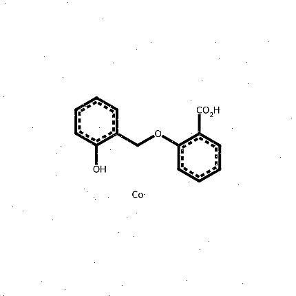 O=C(O)c1ccccc1OCc1ccccc1O.[Co]